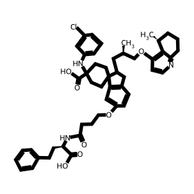 C[C@@H](COc1ccnc2c1[C@H](C)CCC2)CC1Cc2ccc(OCCCC(=O)N[C@H](CCc3ccccc3)C(=O)O)cc2C12CCC(Nc1cccc(Cl)c1)(C(=O)O)CC2